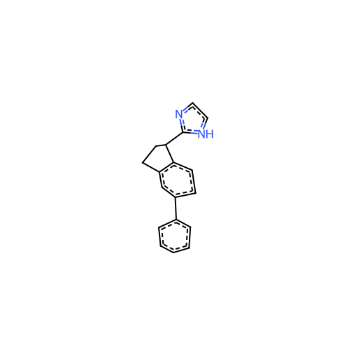 c1ccc(-c2ccc3c(c2)CCC3c2ncc[nH]2)cc1